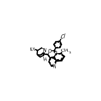 CCC1C[N@@]2CCC1C[C@@H]2[C@@H](OC(=O)c1ccc(Cl)cc1)c1ccnc2ccc(C)cc12